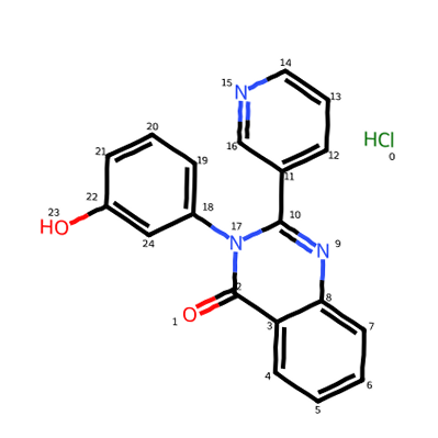 Cl.O=c1c2ccccc2nc(-c2cccnc2)n1-c1cccc(O)c1